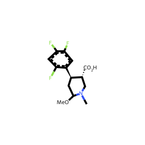 COC1C[C@@H](c2cc(F)c(F)cc2F)[C@H](C(=O)O)CN1C